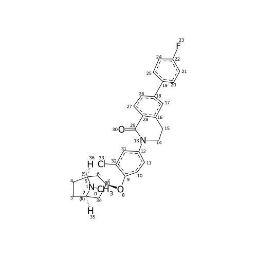 CN1[C@@H]2CC[C@H]1C[C@@H](Oc1ccc(N3CCc4cc(-c5ccc(F)cc5)ccc4C3=O)cc1Cl)C2